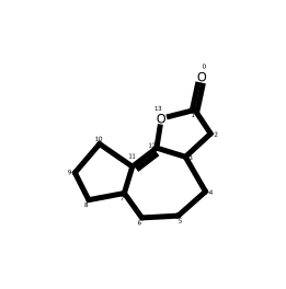 O=C1CC2CCCC3CCCC3=C2O1